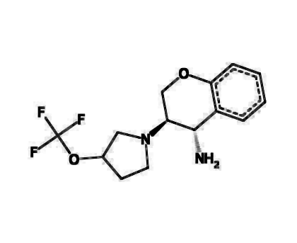 N[C@H]1c2ccccc2OC[C@@H]1N1CCC(OC(F)(F)F)C1